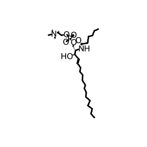 CCCCCCCCCCCCC/C=C/[C@@H](O)[C@H](COP(=O)([O-])OCC[N+](C)(C)C)NC(=O)CCCCC